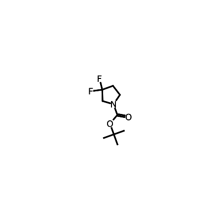 CC(C)(C)OC(=O)N1CCC(F)(F)C1